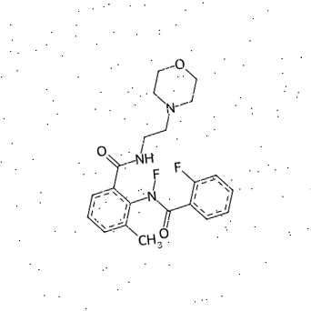 Cc1cccc(C(=O)NCCN2CCOCC2)c1N(F)C(=O)c1ccccc1F